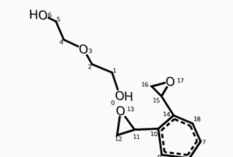 OCCOCCO.c1ccc(C2CO2)c(C2CO2)c1